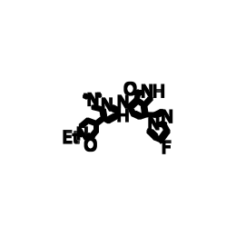 CCN1CCC(c2ccc(Nc3ccc(-c4cnc5cc(F)ccn45)c4c3C(=O)NC4)nc2CN(C)C)CC1=O